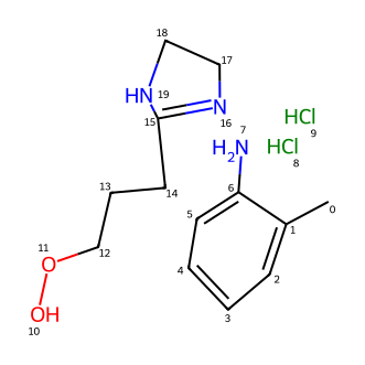 Cc1ccccc1N.Cl.Cl.OOCCCC1=NCCN1